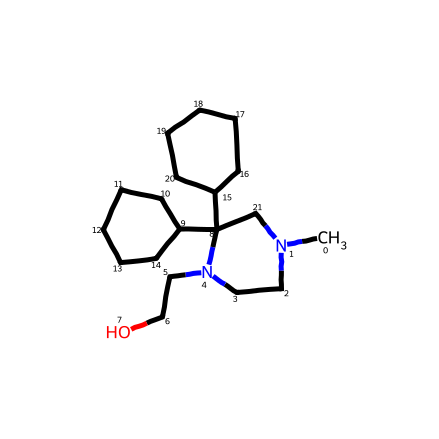 CN1CCN(CCO)C(C2CCCCC2)(C2CCCCC2)C1